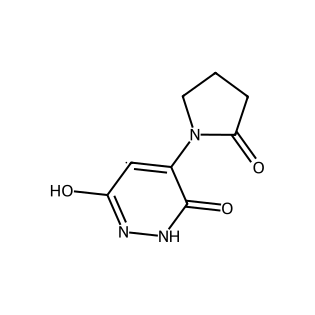 O=C1CCCN1c1[c]c(O)n[nH]c1=O